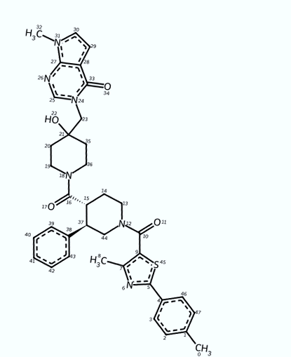 Cc1ccc(-c2nc(C)c(C(=O)N3CC[C@@H](C(=O)N4CCC(O)(Cn5cnc6c(ccn6C)c5=O)CC4)[C@H](c4ccccc4)C3)s2)cc1